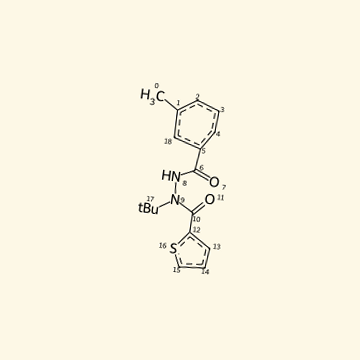 Cc1cccc(C(=O)NN(C(=O)c2cccs2)C(C)(C)C)c1